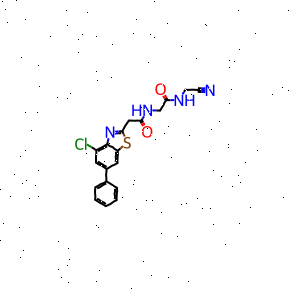 N#CCNC(=O)CNC(=O)Cc1nc2c(Cl)cc(-c3ccccc3)cc2s1